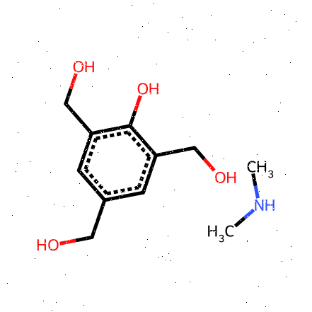 CNC.OCc1cc(CO)c(O)c(CO)c1